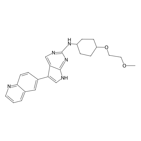 COCCOC1CCC(Nc2ncc3c(-c4ccc5ncccc5c4)c[nH]c3n2)CC1